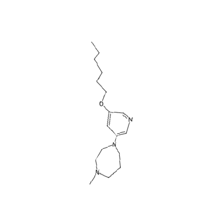 CCCCCCOc1cncc(N2CCCN(C)CC2)c1